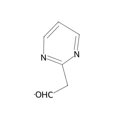 O=[C]Cc1ncccn1